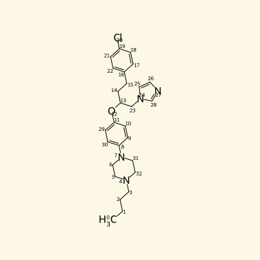 CCCCN1CCN(c2ccc(OC(CCc3ccc(Cl)cc3)Cn3ccnc3)cc2)CC1